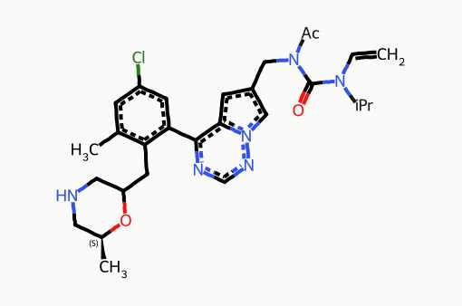 C=CN(C(=O)N(Cc1cc2c(-c3cc(Cl)cc(C)c3CC3CNC[C@H](C)O3)ncnn2c1)C(C)=O)C(C)C